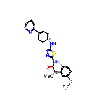 CO[C@H](C(=O)Nc1nnc(N[C@H]2CC=C(c3cccnn3)CC2)s1)c1cc(OC(F)(F)F)ccc1F